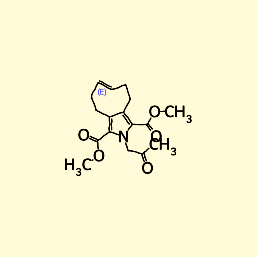 COC(=O)c1c2c(c(C(=O)OC)n1CC(C)=O)CC/C=C/CC2